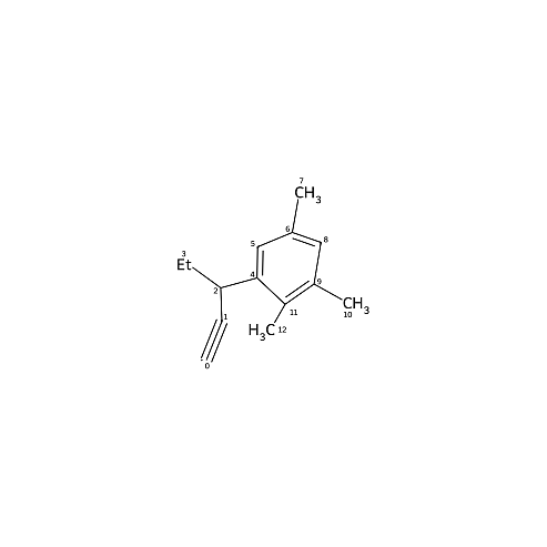 [C]#CC(CC)c1cc(C)cc(C)c1C